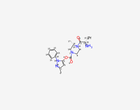 Cc1cc(OC(=O)N2CCN(C(=O)[C@@H](N)C(C)C)[C@@H](C)C2)n(-c2ccccc2)n1